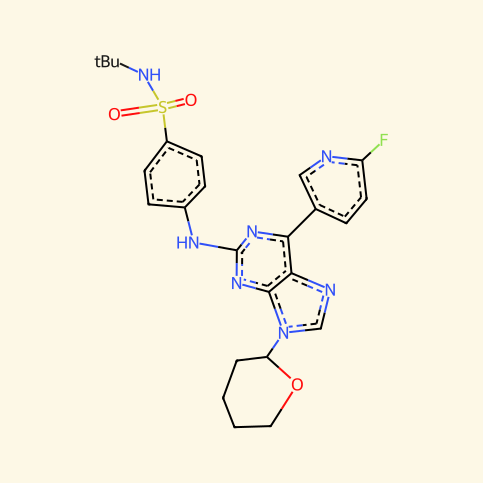 CC(C)(C)NS(=O)(=O)c1ccc(Nc2nc(-c3ccc(F)nc3)c3ncn(C4CCCCO4)c3n2)cc1